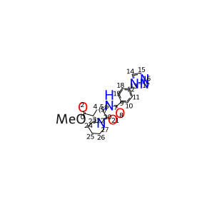 COC(=O)CC[C@H](NC(=O)c1ccc(-n2ccnn2)cc1)C(=O)N1CCCCC1